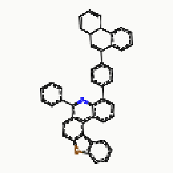 C1=CC2C=C(c3ccc(-c4cccc5c4nc(-c4ccccc4)c4ccc6sc7ccccc7c6c45)cc3)c3ccccc3C2C=C1